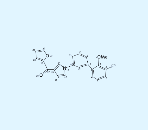 COc1c(F)cccc1-c1cccc(-n2cnc(C(=O)c3ccco3)c2)c1